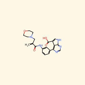 C=C(CN1CCOCC1)C(=O)Nc1cccc(-c2ncnc3[nH]cc(C(=O)O)c23)c1